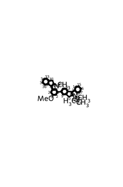 COc1cc(-c2ccc3c(c2)Cc2c-3c3ccccc3n2[Si](C)(C)C)c2c(c1)c1c(n2C)Cc2ccccc2-1